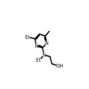 CCc1cc(C)nc(N(CC)CCO)n1